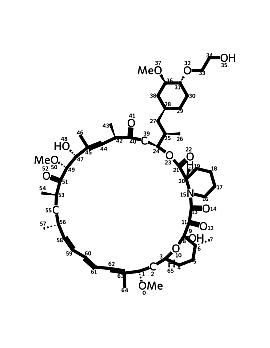 CO[C@H]1C[C@@H]2CC[C@@H](C)[C@@](O)(O2)C(=O)C(=O)N2CCCC[C@H]2C(=O)O[C@H]([C@H](C)C[C@@H]2CC[C@@H](OCCO)[C@H](OC)C2)CC(=O)[C@H](C)/C=C(\C)[C@@H](O)[C@@H](OC)C(=O)[C@H](C)C[C@@H](C)\C=C/C=C/C=C/1C